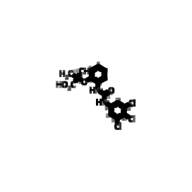 CC(C)(Oc1ccccc1NC(=O)Nc1cc(Cl)c(Cl)c(Cl)c1)C(=O)O